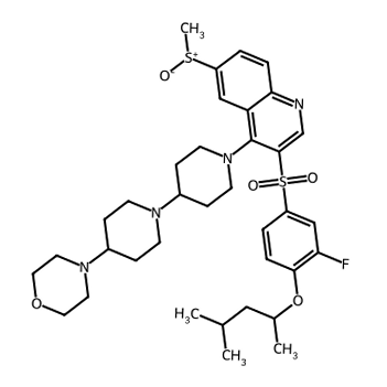 CC(C)CC(C)Oc1ccc(S(=O)(=O)c2cnc3ccc([S+](C)[O-])cc3c2N2CCC(N3CCC(N4CCOCC4)CC3)CC2)cc1F